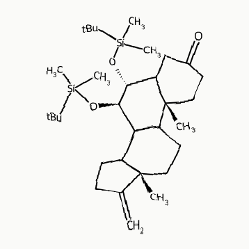 C=C1CCC2C3C(CC[C@]12C)[C@@]1(C)CCC(=O)CC1[C@@H](O[Si](C)(C)C(C)(C)C)[C@@H]3O[Si](C)(C)C(C)(C)C